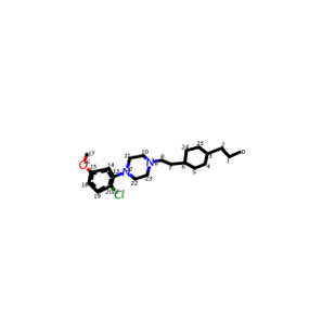 CCCC1CCC(CCN2CCN(c3cc(OC)ccc3Cl)CC2)CC1